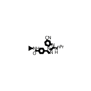 CCCNc1nc2cc(C#N)ccc2n2c(-c3ccc(C(=O)NC4CC4)cc3)cnc12